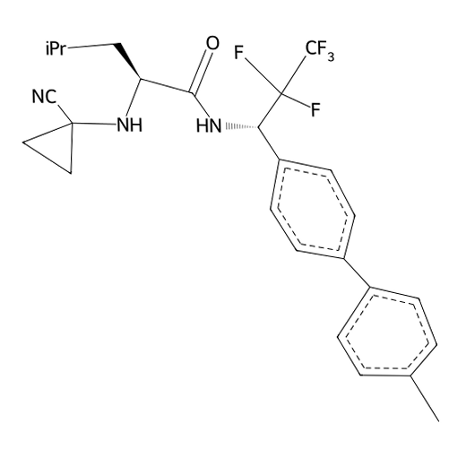 Cc1ccc(-c2ccc([C@H](NC(=O)[C@H](CC(C)C)NC3(C#N)CC3)C(F)(F)C(F)(F)F)cc2)cc1